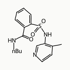 CCCCNC(=O)c1ccccc1S(=O)(=O)Nc1cnccc1C